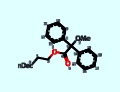 CCCCCCCCCCCCOC(=O)C(OC)(c1ccccc1)c1ccccc1